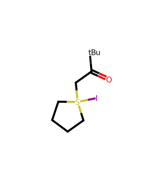 CC(C)(C)C(=O)CS1(I)CCCC1